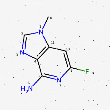 Cn1cnc2c(N)nc(F)cc21